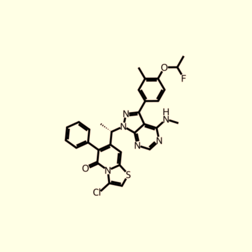 CNc1ncnc2c1c(-c1ccc(OC(C)F)c(C)c1)nn2[C@@H](C)c1cc2scc(Cl)n2c(=O)c1-c1ccccc1